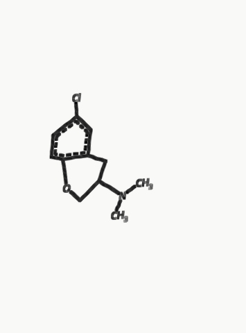 CN(C)C1COc2ccc(Cl)cc2C1